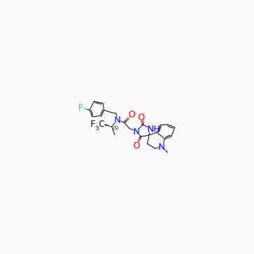 C[C@H](N(Cc1ccc(F)cc1)C(=O)CN1C(=O)NC2(CCN(C)c3ccccc32)C1=O)C(F)(F)F